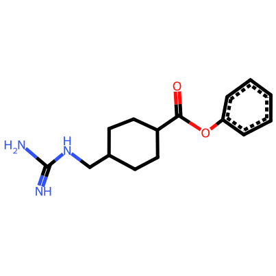 N=C(N)NCC1CCC(C(=O)Oc2ccccc2)CC1